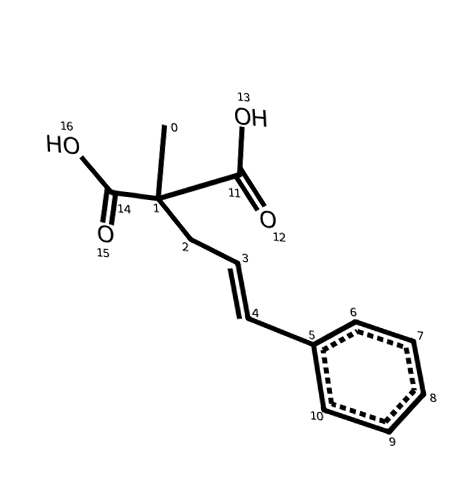 CC(C/C=C/c1ccccc1)(C(=O)O)C(=O)O